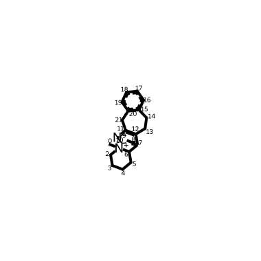 C[N+]12CCCCC1C1=CCN2C2=C1CCc1ccccc1C2